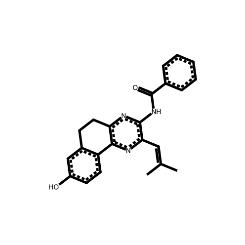 CC(C)=Cc1nc2c(nc1NC(=O)c1ccccc1)CCc1cc(O)ccc1-2